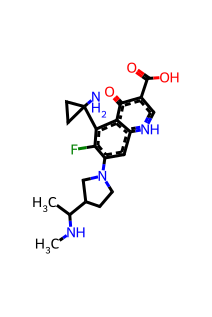 CNC(C)C1CCN(c2cc3[nH]cc(C(=O)O)c(=O)c3c(C3(N)CC3)c2F)C1